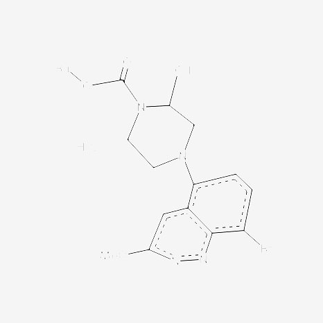 COc1cc2c(N3CC(C)N(C(=O)OC(C)(C)C)[C@@H](C)C3)ccc(Br)c2nn1